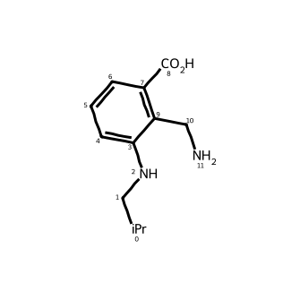 CC(C)CNc1cccc(C(=O)O)c1CN